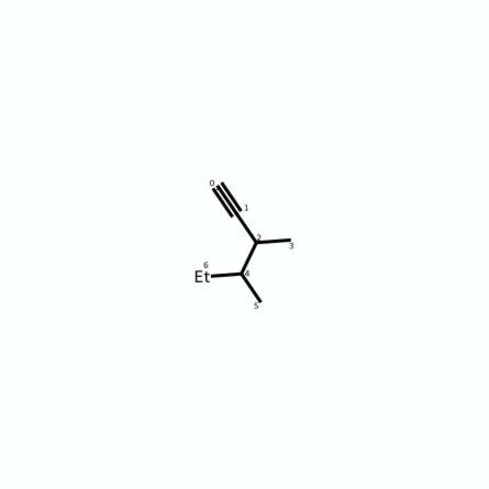 [C]#CC(C)C(C)CC